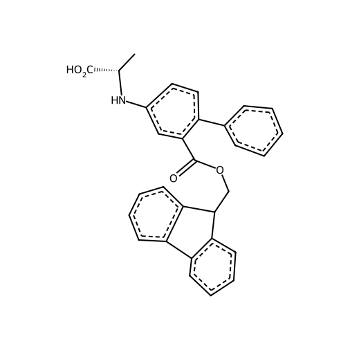 C[C@H](Nc1ccc(-c2ccccc2)c(C(=O)OCC2c3ccccc3-c3ccccc32)c1)C(=O)O